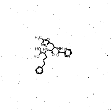 Cc1nnc(CC(NC(=O)c2cnccn2)C(=O)NC(CCCc2ccccc2)B(O)O)o1